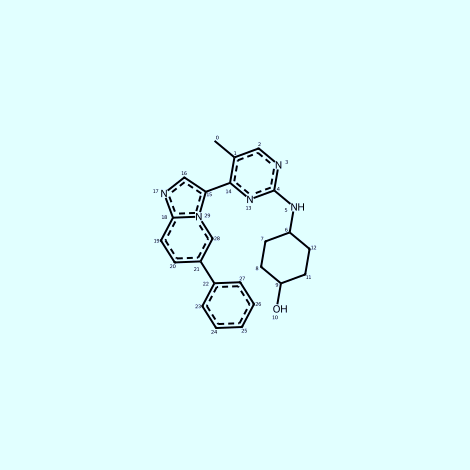 Cc1cnc(NC2CCC(O)CC2)nc1-c1cnc2ccc(-c3ccccc3)cn12